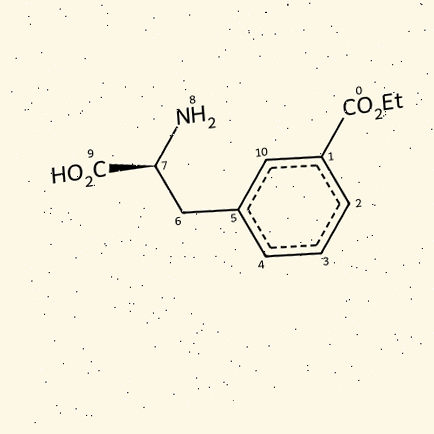 CCOC(=O)c1cccc(C[C@H](N)C(=O)O)c1